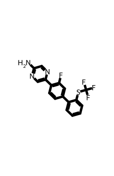 Nc1cnc(-c2ccc(-c3ccccc3SC(F)(F)F)cc2F)cn1